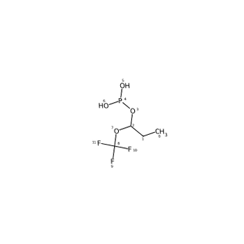 CCC(OP(O)O)OC(F)(F)F